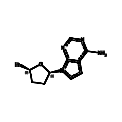 CC[C@@H]1CC[C@H](n2ccc3c(N)ncnc32)O1